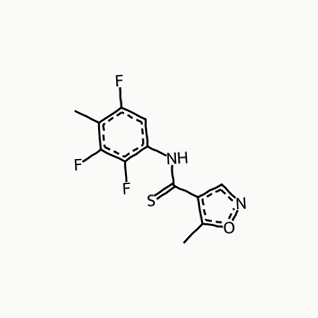 Cc1oncc1C(=S)Nc1cc(F)c(C)c(F)c1F